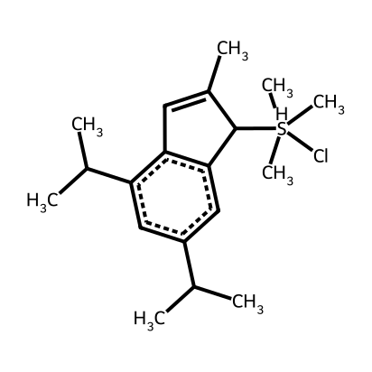 CC1=Cc2c(C(C)C)cc(C(C)C)cc2C1[SH](C)(C)(C)Cl